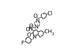 Cc1ccc2c(c1)c(N1CCN(C(=O)c3ccc(Cl)cc3)CC1)c([N+](=O)[O-])c(=O)n2Cc1ccc(F)cc1